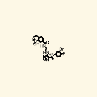 C=C(Nc1ccc(F)c(Br)c1)c1nonc1NCCNC(=O)c1ccc2c(c1)B(O)OC=C2